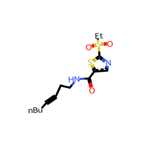 CCCCC#CCCNC(=O)c1cnc(S(=O)(=O)CC)s1